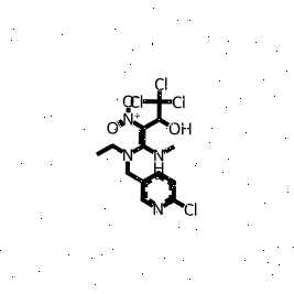 CCN(Cc1ccc(Cl)nc1)C(NC)=C(C(O)C(Cl)(Cl)Cl)[N+](=O)[O-]